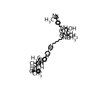 COc1cc(N2CCC(N3CCN(CCCCCCC(=O)N[C@H](C(=O)N4C[C@H](O)C[C@H]4C(=O)NCc4ccc(-c5scnc5C)cc4)C(C)(C)C)CC3)CC2)ccc1Nc1ncc(Cl)c(Nc2ccccc2P(C)(C)=O)n1